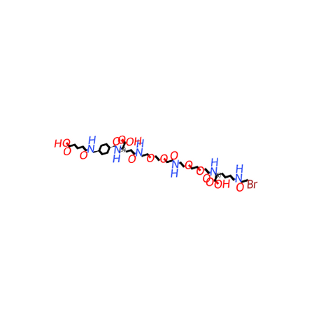 O=C(O)CCCC(=O)NC[C@H]1CC[C@H](C(=O)N[C@@H](CCC(=O)NCCOCCOCC(=O)NCCOCCOCC(=O)N[C@@H](CCCCNC(=O)CBr)C(=O)O)C(=O)O)CC1